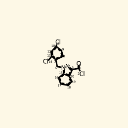 O=C(Cl)c1nn(Cc2ccc(Cl)cc2Cl)c2ccccc12